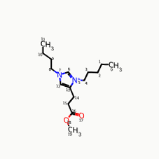 CCCCC[n+]1cn(CCCC)cc1CCC(=O)OC